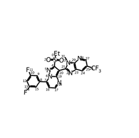 CCS(=O)(=O)c1nn2c(-c3cc(F)cc(F)c3)ccnc2c1-c1nc2cc(C(F)(F)F)cnc2n1C